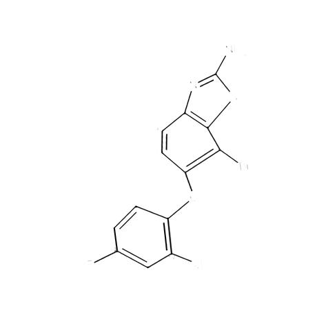 Nc1nc2ccc(Oc3ccc(F)cc3Cl)c(Br)c2s1